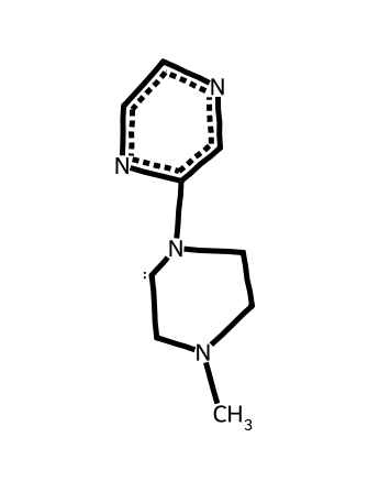 CN1C[C]N(c2cnccn2)CC1